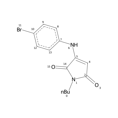 CCCCN1C(=O)C=C(Nc2ccc(Br)cc2)C1=O